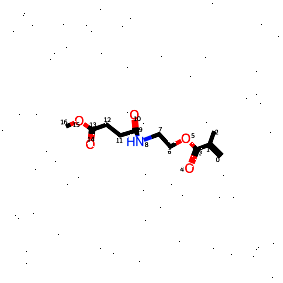 C=C(C)C(=O)OCCNC(=O)CCC(=O)OC